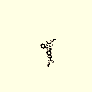 C=CCOC(=O)c1cc2cc(C(F)P(=O)(NC(C)C(=O)OCCC)Oc3ccccc3)ccc2s1